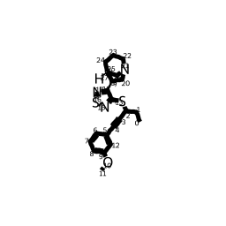 CCC(C#Cc1cccc(OC)c1)Sc1nsnc1[C@@H]1CN2CCC[C@H]1C2